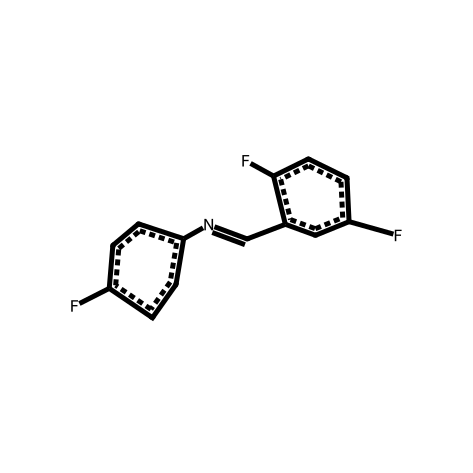 Fc1ccc(/N=C/c2cc(F)ccc2F)cc1